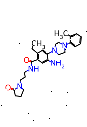 CCc1cc(N2CCN(c3ccccc3C)CC2)c(N)cc1C(=O)NCCCN1CCCC1=O